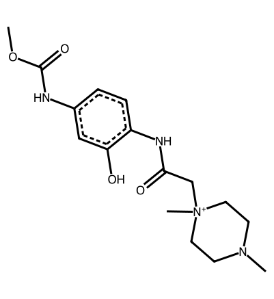 COC(=O)Nc1ccc(NC(=O)C[N+]2(C)CCN(C)CC2)c(O)c1